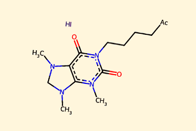 CC(=O)CCCCn1c(=O)c2c(n(C)c1=O)N(C)CN2C.I